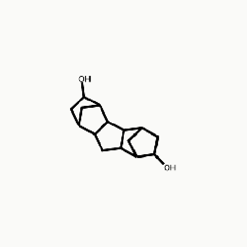 OC1CC2CC1C1CC3C4CC(O)C(C4)C3C21